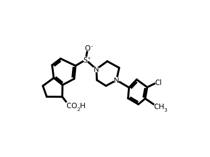 Cc1ccc(N2CCN([S+]([O-])c3ccc4c(c3)C(C(=O)O)CC4)CC2)cc1Cl